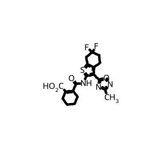 Cc1noc(-c2c(NC(=O)C3=C(C(=O)O)CCCC3)sc3c2CCC(F)(F)C3)n1